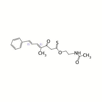 CC(=O)NCCOC(=S)CC(=O)/C(C)=C/C=C/c1ccccc1